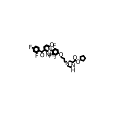 Nc1c(C(=O)c2ccc(F)cc2F)ccc(=O)n1-c1c(F)cc(OCCCN2CCNC(C(=O)OC3CCCC3)C2)cc1F